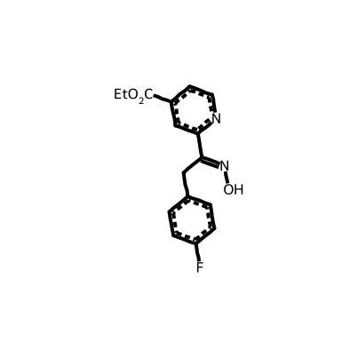 CCOC(=O)c1ccnc(/C(Cc2ccc(F)cc2)=N/O)c1